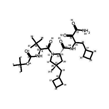 CC(C)(C)OC(=O)N[C@H](C(=O)N1C[C@@](I)(CC2CCC2)C[C@H]1C(=O)NC(CC1CCC1)C(=O)C(N)=O)C(C)(C)C